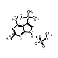 COS(=O)(=O)[O-].Cn1cc([N+](C)(C)C)c2c(O)nc(N)nc21